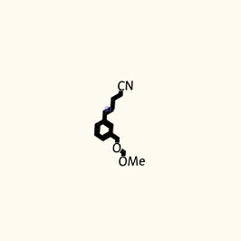 COCOCc1cccc(/C=C/CCC#N)c1